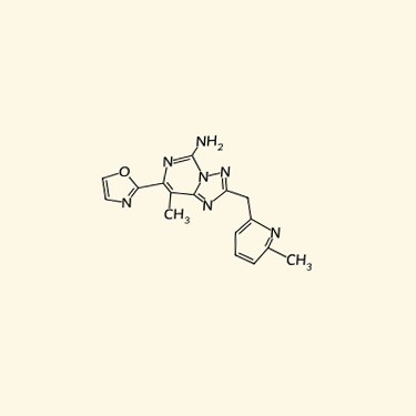 Cc1cccc(Cc2nc3c(C)c(-c4ncco4)nc(N)n3n2)n1